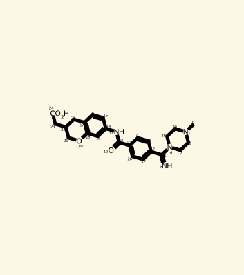 CN1CCN(C(=N)c2ccc(C(=O)Nc3ccc4c(c3)OCC(CC(=O)O)C4)cc2)CC1